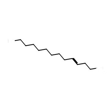 [CH2]CCC=CCCCCCCCC[CH2]